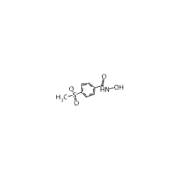 CS(=O)(=O)c1ccc(C(=O)NO)cc1